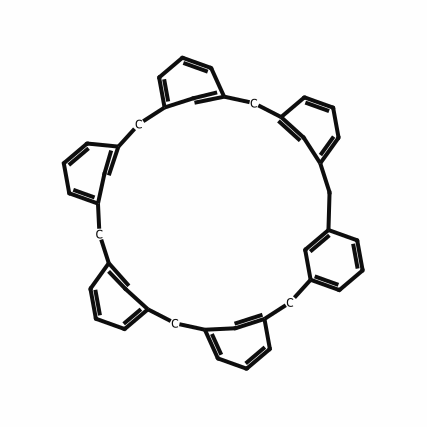 c1cc2cc(c1)Cc1cccc(c1)Cc1cccc(c1)Cc1cccc(c1)Cc1cccc(c1)Cc1cccc(c1)C2